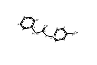 CC(C)c1cc[n+](CC(=O)Nc2ccccc2)cc1